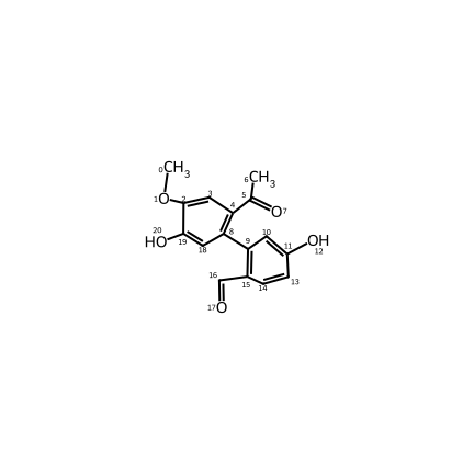 COc1cc(C(C)=O)c(-c2cc(O)ccc2C=O)cc1O